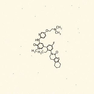 CCc1c(-c2cc(Nc3ccc(OCCN(C)C)cn3)c(=O)n(C)c2)cc(F)cc1N1CCc2c(sc3c2CCCC3)C1=O